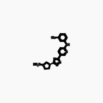 CC(C)(C)c1cccc(Nc2ccc(-c3noc([C@@H]4CCN(C(=O)O)C4)n3)cn2)c1